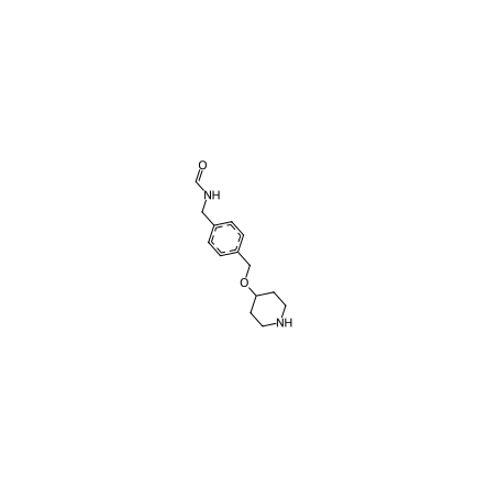 O=CNCc1ccc(COC2CCNCC2)cc1